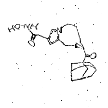 O=C(NO)c1cc2n(c1)CCCN(C(=O)C13CC4CC(CC(C4)C1)C3)C2